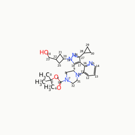 CC(C)(C)OC(=O)N1CCN(c2cccnc2-c2cn(C3CC(CO)C3)nc2C2CC2)CC1